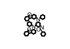 c1ccc(-c2nc3cc(N(c4ccccc4)c4ccc5oc6ccccc6c5c4)cc(N(c4ccccc4)c4cccc5c4oc4ccccc45)c3o2)cc1